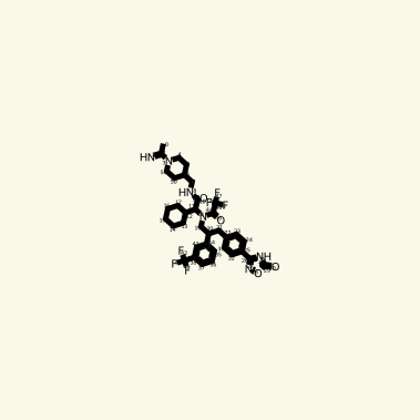 CC(=N)N1CCC(CNC(=O)C(C2CCCCC2)N(CC(Cc2ccc(-c3noc(=O)[nH]3)cc2)c2cccc(C(F)(F)F)c2)C(=O)C(F)(F)F)CC1